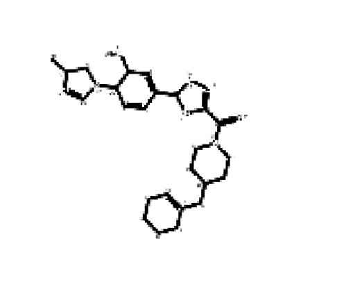 COC1C=C(C2NN=C(C(=O)N3CCC(CC4=CCCCC4)CC3)O2)C=CC1N1C=NC(C)C1